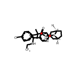 CC(C)(C(=O)N[C@H]1C[C@H]2CC[C@@H](C1)N2c1ccc(C(=O)NCC(F)(F)F)cn1)c1ccc(Cl)cc1